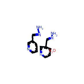 NN=Cc1cccnc1.NN=Cc1cccnc1.O